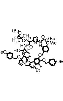 CCn1cc(C[N+]2(CC3=C(C(=O)OCc4ccc(OC)cc4)N4C(O)[C@@H](NC(=O)/C(=N\OC(C)(C)C(=O)OC(C)(C)C)c5csc(NC(=O)OC(C)(C)C)n5)[C@H]4SC3)CCCC2)c(=O)c2cc(OCc3ccc(OC)cc3)c(OCc3ccc(OC)cc3)c(F)c21